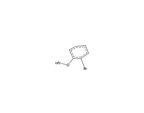 [CH2]C[CH]Oc1ccccc1Br